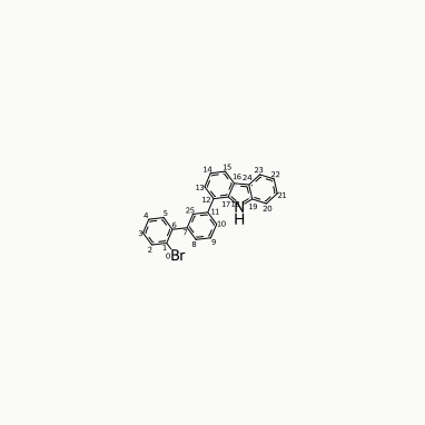 Brc1ccccc1-c1cccc(-c2cccc3c2[nH]c2ccccc23)c1